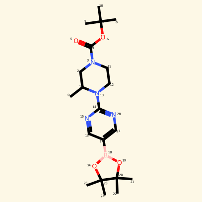 CC1CN(C(=O)OC(C)(C)C)CCN1c1ncc(B2OC(C)(C)C(C)(C)O2)cn1